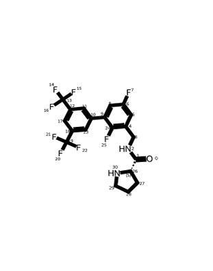 O=C(NCc1cc(F)cc(-c2cc(C(F)(F)F)cc(C(F)(F)F)c2)c1F)[C@@H]1CCCN1